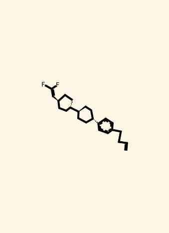 C=CCCc1ccc([C@H]2CC[C@H]([C@H]3CC[C@H](C=C(F)F)CC3)CC2)cc1